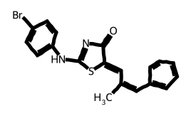 CC(=Cc1ccccc1)C=C1SC(Nc2ccc(Br)cc2)=NC1=O